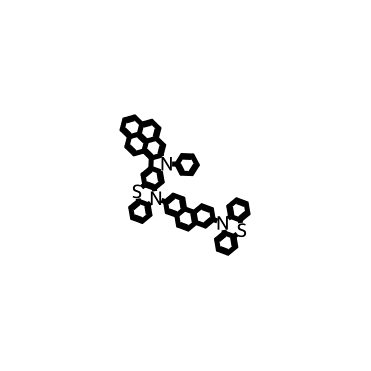 c1ccc(-n2c3cc4c(cc3c3c5ccc6cccc7ccc(cc32)c5c76)sc2ccccc2n4-c2ccc3c(ccc4cc(N5c6ccccc6Sc6ccccc65)ccc43)c2)cc1